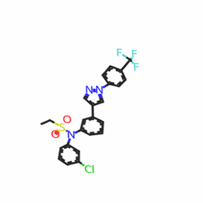 CCS(=O)(=O)N(c1cccc(Cl)c1)c1cccc(-c2cnn(-c3ccc(C(F)(F)F)cc3)c2)c1